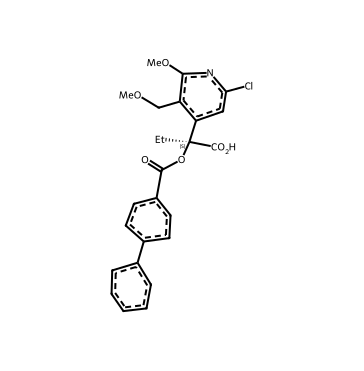 CC[C@@](OC(=O)c1ccc(-c2ccccc2)cc1)(C(=O)O)c1cc(Cl)nc(OC)c1COC